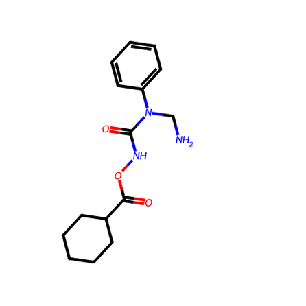 NCN(C(=O)NOC(=O)C1CCCCC1)c1ccccc1